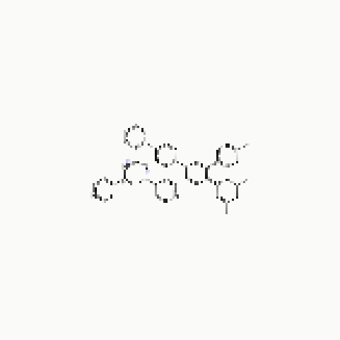 CC1=Cc2c(c3cc(C)ccc3c3cc(-c4ccc(-c5ccccc5C(=N/[C@@H](C)c5ccncc5)/N=C(\C)c5ccncc5)cc4)ccc23)C(C)C1